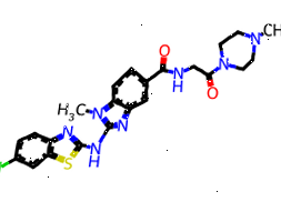 CN1CCN(C(=O)CNC(=O)c2ccc3c(c2)nc(Nc2nc4ccc(Cl)cc4s2)n3C)CC1